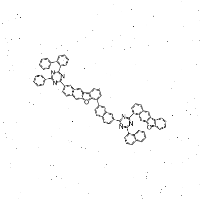 c1ccc(-c2nc(-c3ccc4cc5oc6c(-c7ccc8ccc(-c9nc(-c%10cccc%11ccccc%10%11)nc(-c%10cccc%11cc%12c(cc%10%11)oc%10ccccc%10%12)n9)cc8c7)cccc6c5cc4c3)nc(-c3ccccc3-c3ccccc3)n2)cc1